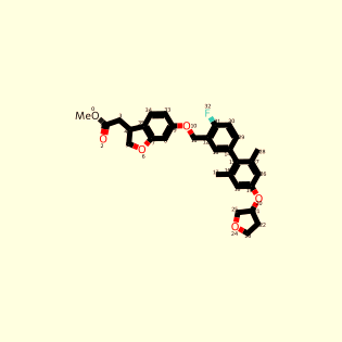 COC(=O)CC1COc2cc(OCc3cc(-c4c(C)cc(OC5CCOC5)cc4C)ccc3F)ccc21